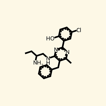 CCC(N)CNc1nc(-c2cc(Cl)ccc2O)nc(C)c1Cc1ccccc1